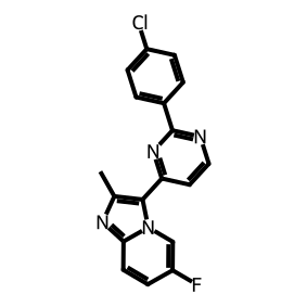 Cc1nc2ccc(F)cn2c1-c1ccnc(-c2ccc(Cl)cc2)n1